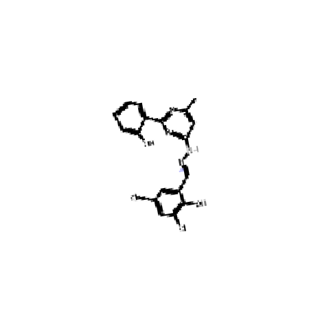 Cc1cc(N/N=C/c2cc(Cl)cc(Cl)c2O)nc(-c2ccccc2O)n1